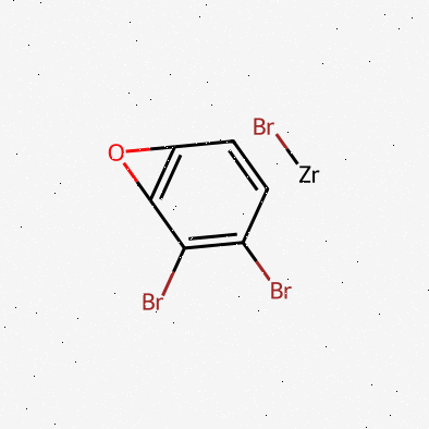 Brc1ccc2c(c1Br)O2.[Br][Zr]